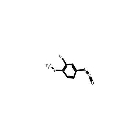 O=C=Nc1ccc(SC(F)(F)F)c(Br)c1